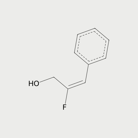 OC/C(F)=C\c1ccccc1